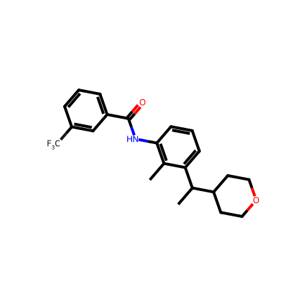 C[C](c1cccc(NC(=O)c2cccc(C(F)(F)F)c2)c1C)C1CCOCC1